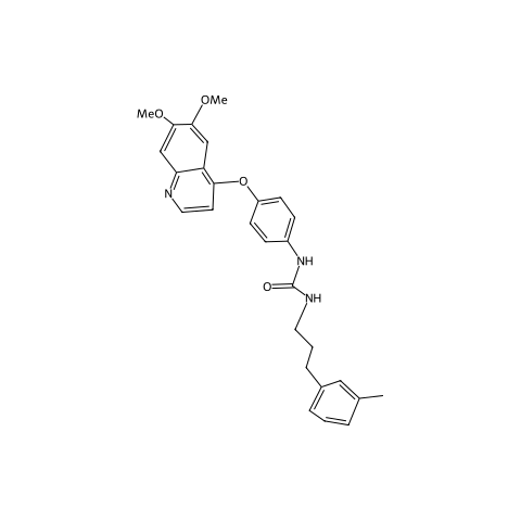 COc1cc2nccc(Oc3ccc(NC(=O)NCCCc4cccc(C)c4)cc3)c2cc1OC